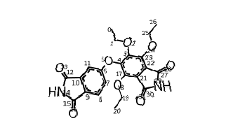 CCOc1c(Oc2ccc3c(c2)C(=O)NC3=O)c(OCC)c2c(c1OCC)C(=O)NC2=O